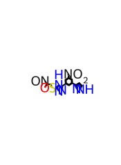 O=NC(=O)CSc1nnc(-c2cc(-c3cc[nH]n3)cc([N+](=O)[O-])c2)[nH]1